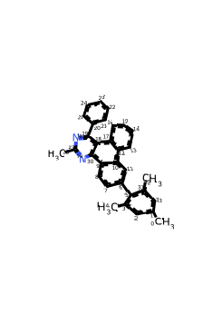 Cc1cc(C)c(-c2ccc3c(c2)c2ccccc2c2c(-c4ccccc4)nc(C)nc32)c(C)c1